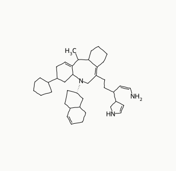 CC1C2=CCC(C3CCCCC3)CC2N([C@H]2CCC3C=CCCC3C2)C/C(CCC(/C=C\N)C2C=CNC2)=C2/CCCCC21